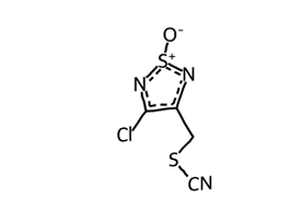 N#CSCc1n[s+]([O-])nc1Cl